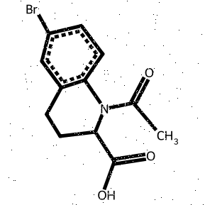 CC(=O)N1c2ccc(Br)cc2CCC1C(=O)O